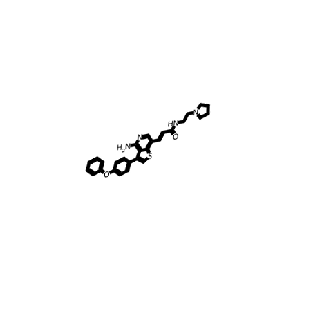 Nc1ncc(/C=C/C(=O)NCCN2CCCC2)c2scc(-c3ccc(Oc4ccccc4)cc3)c12